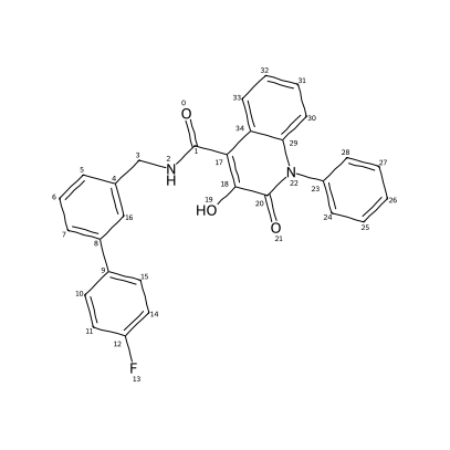 O=C(NCc1cccc(-c2ccc(F)cc2)c1)c1c(O)c(=O)n(-c2ccccc2)c2ccccc12